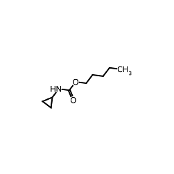 CCCCCOC(=O)NC1CC1